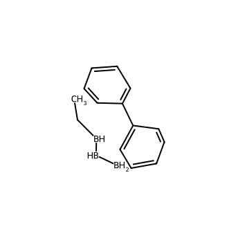 BBBCC.c1ccc(-c2ccccc2)cc1